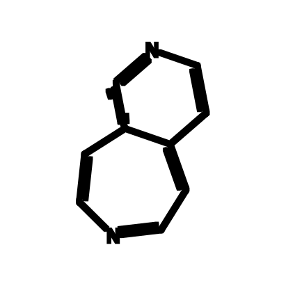 C1=CC2=NC=CC3=CC=NC=CC32C=C1